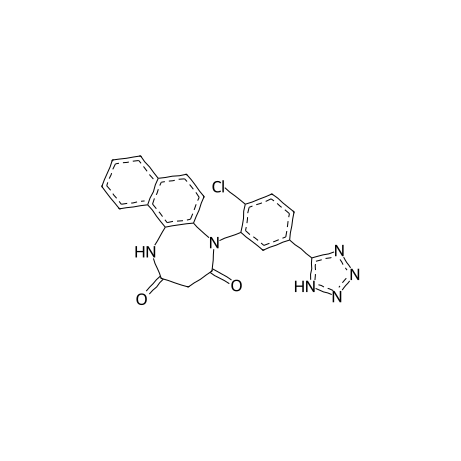 O=C1CC(=O)N(c2cc(-c3nnn[nH]3)ccc2Cl)c2ccc3ccccc3c2N1